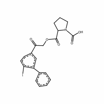 O=C(COC(=O)C1CCCN1C(=O)O)c1ccc(I)c(-c2ccccc2)c1